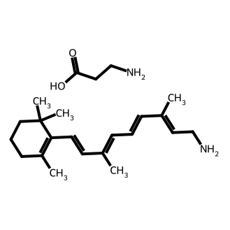 CC(C=CC1=C(C)CCCC1(C)C)=CC=CC(C)=CCN.NCCC(=O)O